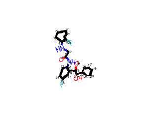 O=C(CNc1ccccc1F)Nc1ccc(F)cc1C(=O)C(O)c1ccccc1